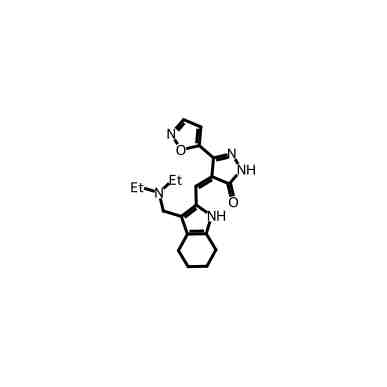 CCN(CC)Cc1c(C=C2C(=O)NN=C2c2ccno2)[nH]c2c1CCCC2